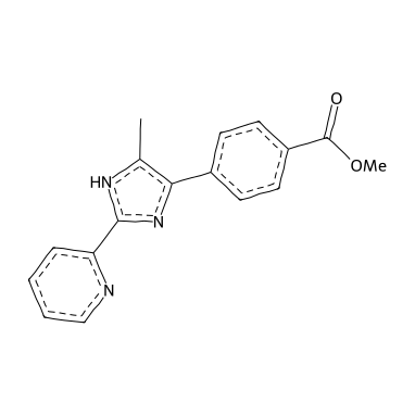 COC(=O)c1ccc(-c2nc(-c3ccccn3)[nH]c2C)cc1